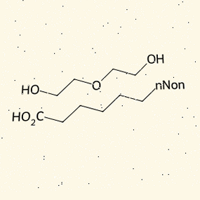 CCCCCCCCCCCCCCC(=O)O.OCCOCCO